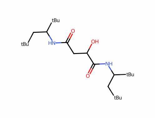 CC(C)(C)CC(NC(=O)CC(O)C(=O)NC(CC(C)(C)C)C(C)(C)C)C(C)(C)C